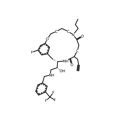 C#CCC1CCC(=O)N(CCC)CCCCOc2cc(F)cc(c2)C[C@@H]([C@H](O)CNCc2cccc(C(F)(F)F)c2)NC1=O